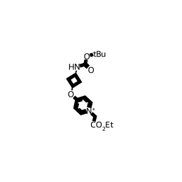 CCOC(=O)C[n+]1ccc(O[C@H]2C[C@@H](NC(=O)OC(C)(C)C)C2)cc1